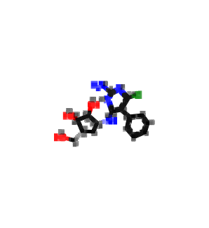 Nc1nc(Cl)c(-c2ccccc2)c(N[C@@H]2C[C@H](CO)[C@@H](O)[C@H]2O)n1